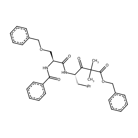 CC(C)C[C@H](NC(=O)[C@H](COCc1ccccc1)NC(=O)c1ccccc1)C(=O)C(C)(C)C(=O)OCc1ccccc1